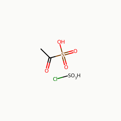 CC(=O)S(=O)(=O)O.O=S(=O)(O)Cl